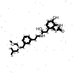 COCN(Cc1cccc(CCNC(O)Cc2ccc(O)c3[nH]c(=O)sc23)c1)CC(C)C